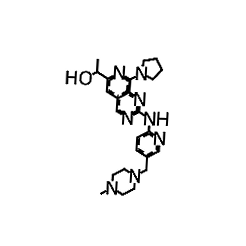 CC(O)c1cc2cnc(Nc3ccc(CN4CCN(C)CC4)cn3)nc2c(N2CCCC2)n1